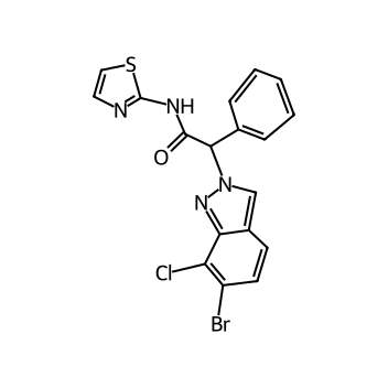 O=C(Nc1nccs1)C(c1ccccc1)n1cc2ccc(Br)c(Cl)c2n1